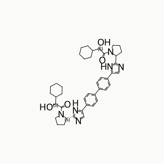 O=C([C@@H](O)C1CCCCC1)N1CCCC1c1ncc(-c2ccc(-c3ccc(-c4cnc([C@@H]5CCCN5C(=O)[C@@H](O)C5CCCCC5)[nH]4)cc3)cc2)[nH]1